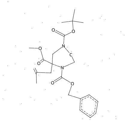 C=C(C)CC1(C(=O)OC)CN(C(=O)OC(C)(C)C)CCN1C(=O)OCc1ccccc1